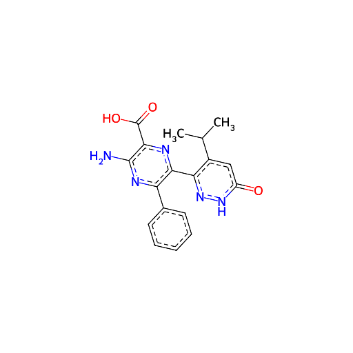 CC(C)c1cc(=O)[nH]nc1-c1nc(C(=O)O)c(N)nc1-c1ccccc1